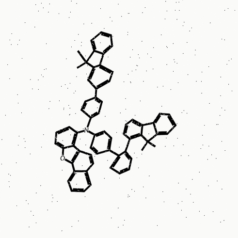 CC1(C)c2ccccc2-c2ccc(-c3ccc(N(c4ccc(-c5ccccc5-c5cccc6c5C(C)(C)c5ccccc5-6)cc4)c4cccc5oc6c7ccccc7ccc6c45)cc3)cc21